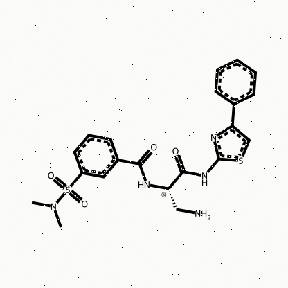 CN(C)S(=O)(=O)c1cccc(C(=O)N[C@@H](CN)C(=O)Nc2nc(-c3ccccc3)cs2)c1